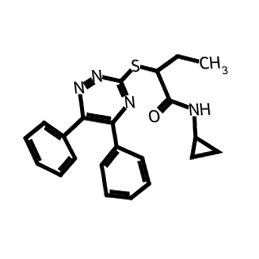 CCC(Sc1nnc(-c2ccccc2)c(-c2ccccc2)n1)C(=O)NC1CC1